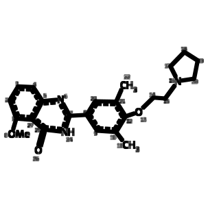 COc1cccc2nc(-c3cc(C)c(OCCN4CCCC4)c(C)c3)[nH]c(=O)c12